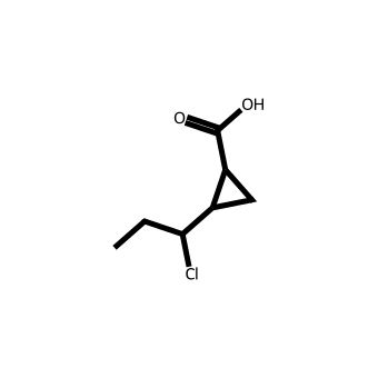 CCC(Cl)C1CC1C(=O)O